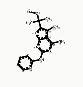 CCOC(C)(C)c1sc2nc(Nc3ccccn3)nc(N)c2c1C